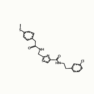 CSc1ccc(CC(=O)NCc2nc(C(=O)NCCc3cccc(Cl)c3)cs2)cc1